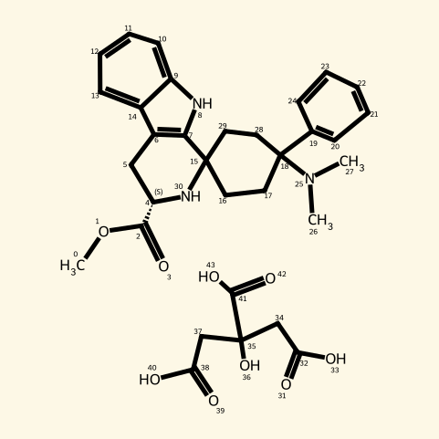 COC(=O)[C@@H]1Cc2c([nH]c3ccccc23)C2(CCC(c3ccccc3)(N(C)C)CC2)N1.O=C(O)CC(O)(CC(=O)O)C(=O)O